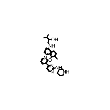 Cc1ccc2c(NCC(O)C(C)C)cccc2c1Oc1ncccc1-c1ccnc(N[C@H]2CCCNC2)n1